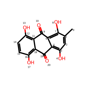 Cc1cc(O)c2c(c1O)C(=O)c1c(O)ccc(O)c1C2=O